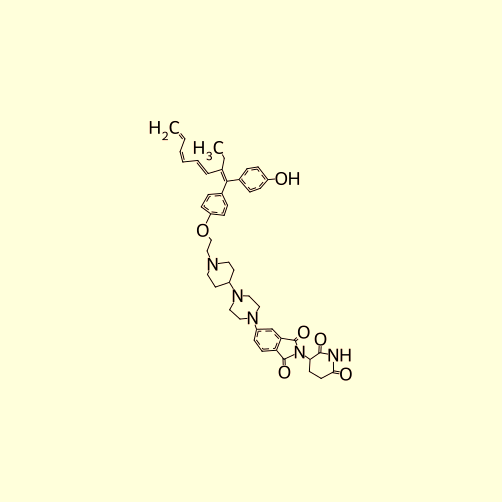 C=C\C=C/C=C/C(CC)=C(/c1ccc(O)cc1)c1ccc(OCCN2CCC(N3CCN(c4ccc5c(c4)C(=O)N(C4CCC(=O)NC4=O)C5=O)CC3)CC2)cc1